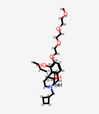 CCCC[C@]12CCN(CC3CCC3)[C@H](Cc3ccc(OCCOCCOCCOC)c(O)c31)[C@@]2(C)O